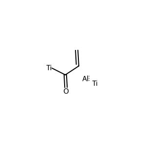 C=C[C](=O)[Ti].[Al].[Ti]